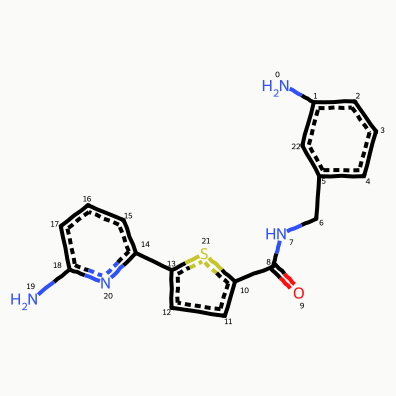 Nc1cccc(CNC(=O)c2ccc(-c3cccc(N)n3)s2)c1